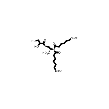 CCCCCCCCCCCCCCCC(=O)N(C(=O)CCCCCCCCCCCCCCC)[C@@H](CSC(=O)C(O)CO)C(=O)O